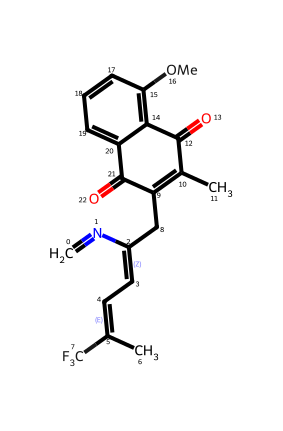 C=N/C(=C\C=C(/C)C(F)(F)F)CC1=C(C)C(=O)c2c(OC)cccc2C1=O